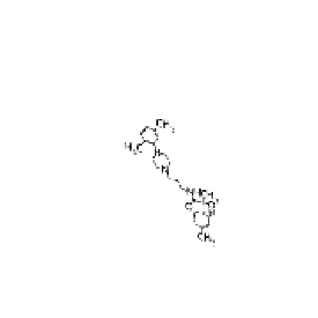 Cc1ccc(C(C)(O)C(=O)NCCCN2CCN(c3cc(C)ccc3C)CC2)cc1